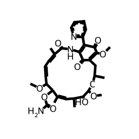 COC1=C2CC(C)CC(OC)C(O)C(C)C=C(C)C(OC(N)=O)C(OC)C=CC=C(C)C(=O)NC(=C(c3ccccn3)C1=O)C2=O